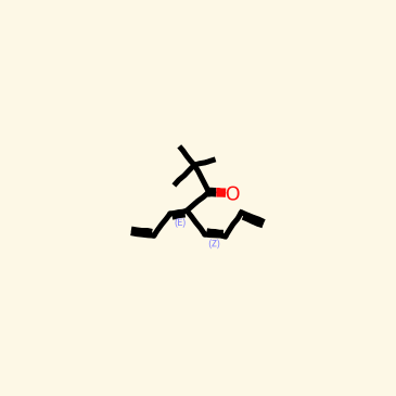 C=C/C=C\C(=C/C=C)C(=O)C(C)(C)C